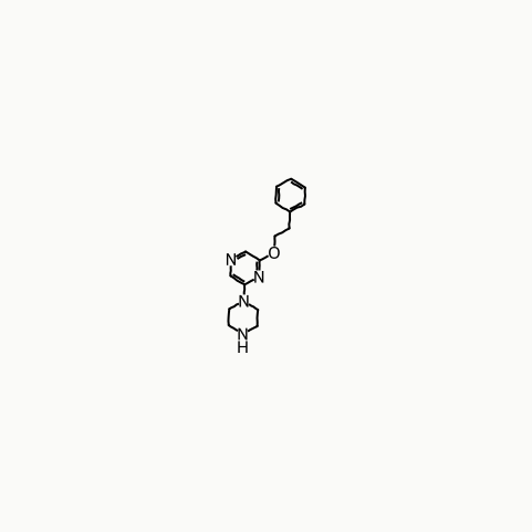 c1ccc(CCOc2cncc(N3CCNCC3)n2)cc1